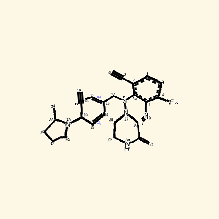 C#Cc1ccc(F)c(N=C)c1N(CC(/C=C\C(C#C)N1CCCC1C)=C/C)N1CCNC(=C)C1